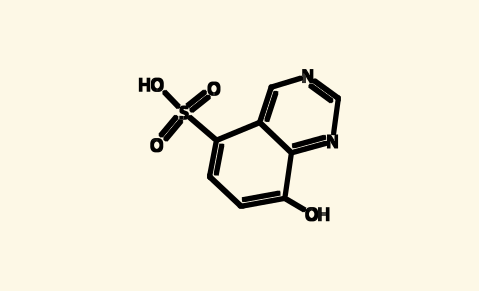 O=S(=O)(O)c1ccc(O)c2ncncc12